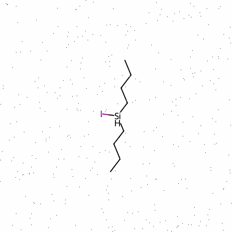 CCCC[SiH](I)CCCC